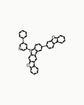 c1ccc(-c2cncc(-n3c4ccc(-c5ccc6c(c5)oc5ccccc56)cc4c4cc5c(cc43)oc3ccccc35)c2)cc1